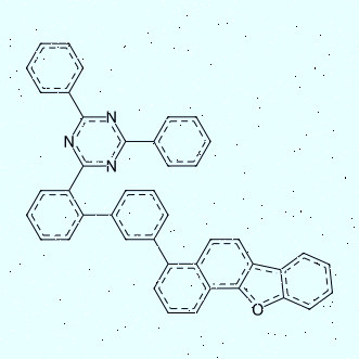 c1ccc(-c2nc(-c3ccccc3)nc(-c3ccccc3-c3cccc(-c4cccc5c4ccc4c6ccccc6oc54)c3)n2)cc1